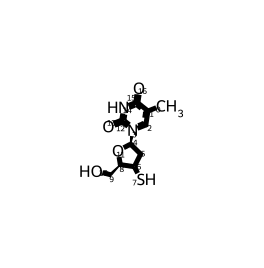 Cc1cn([C@H]2CC(S)[C@@H](CO)O2)c(=O)[nH]c1=O